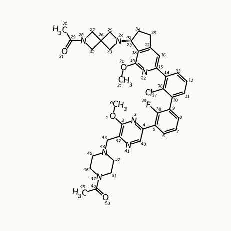 COc1nc(-c2cccc(-c3cccc(-c4cc5c(c(OC)n4)[C@@H](N4CC6(CN(C(C)=O)C6)C4)CC5)c3Cl)c2F)cnc1CN1CCN(C(C)=O)CC1